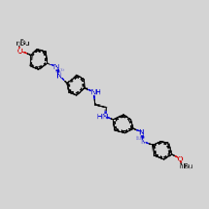 CCCCOc1ccc(/N=N/c2ccc(NCCNc3ccc(/N=N/c4ccc(OCCCC)cc4)cc3)cc2)cc1